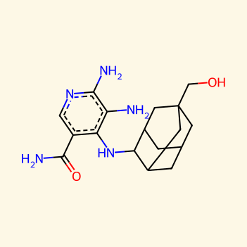 NC(=O)c1cnc(N)c(N)c1NC1C2CC3CC1CC(CO)(C3)C2